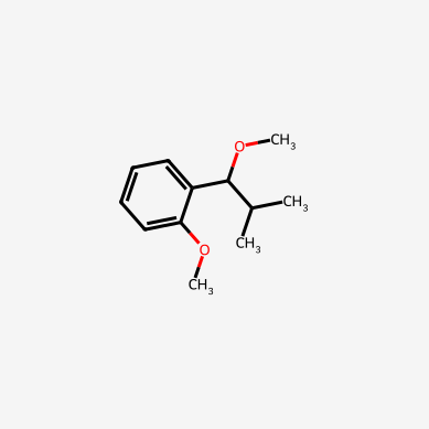 COc1ccccc1C(OC)C(C)C